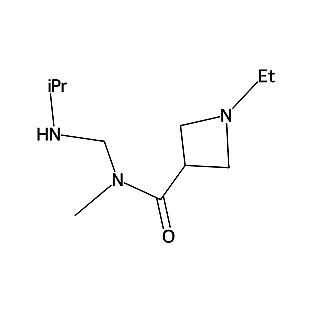 CCN1CC(C(=O)N(C)CNC(C)C)C1